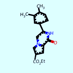 CCOC(=O)c1cc2c(=O)[nH]c(-c3ccc(C)c(C)c3)cn2c1